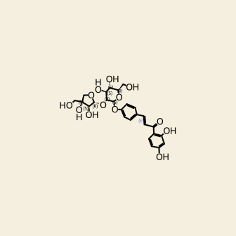 O=C(/C=C/c1ccc(O[C@@H]2O[C@H](CO)[C@@H](O)[C@H](O)[C@H]2O[C@H]2OC[C@@](O)(CO)[C@@H]2O)cc1)c1ccc(O)cc1O